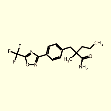 CCCC(C)(Cc1ccc(-c2noc(C(F)(F)F)n2)cc1)C(N)=O